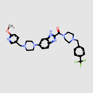 COc1ccc(CN2CCN(c3ccc4nc(C(=O)N5CCN(Cc6ccc(C(F)(F)F)cc6)CC5)[nH]c4c3)CC2)cn1